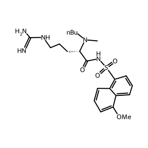 CCCCN(C)[C@@H](CCCNC(=N)N)C(=O)NS(=O)(=O)c1cccc2c(OC)cccc12